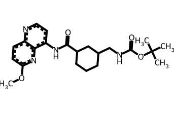 COc1ccc2nccc(NC(=O)C3CCCC(CNC(=O)OC(C)(C)C)C3)c2n1